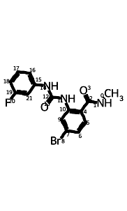 CNC(=O)c1ccc(Br)cc1NC(=O)Nc1cccc(F)c1